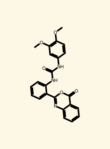 COc1ccc(NC(=O)Nc2ccccc2-c2nc3ccccc3c(=O)o2)cc1OC